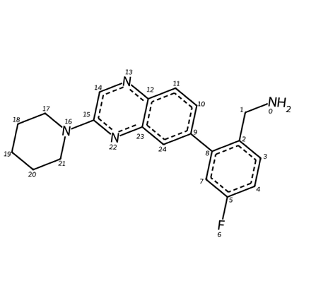 NCc1ccc(F)cc1-c1ccc2ncc(N3CCCCC3)nc2c1